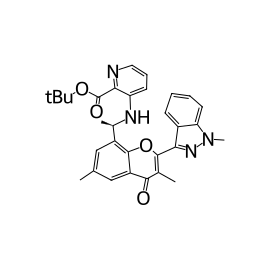 Cc1cc([C@@H](C)Nc2cccnc2C(=O)OC(C)(C)C)c2oc(-c3nn(C)c4ccccc34)c(C)c(=O)c2c1